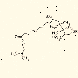 CN(C)CCOC(=O)CCCCCCCCC(CC(C)(C)C(C)(C)C(CC(C)(C)C)C(=O)O)C(C)(C)C